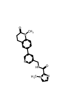 CN1C(=O)CCc2cc(-c3cncc(CNC(=O)c4nccn4C)c3)ccc21